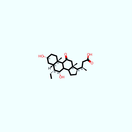 CC[C@H]1[C@@H](O)C2C3CC[C@H]([C@H](C)CC(=O)O)[C@@]3(C)CC(=O)C2[C@@]2(C)CC[C@@H](O)C[C@@H]12